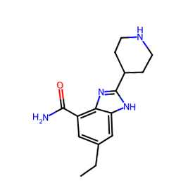 CCc1cc(C(N)=O)c2nc(C3CCNCC3)[nH]c2c1